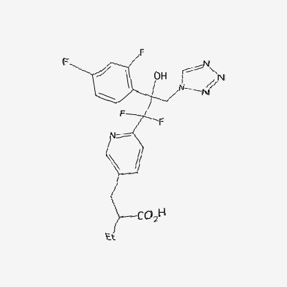 CCC(Cc1ccc(C(F)(F)C(O)(Cn2cnnn2)c2ccc(F)cc2F)nc1)C(=O)O